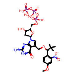 COc1ccc(C(OCc2cn([C@H]3C[C@@H](O)[C@@H](COP(=O)(O)OP(=O)(O)OP(=O)(O)O)O3)c3nc(N)[nH]c(=O)c23)C(C)(C)C)c([N+](=O)[O-])c1